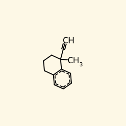 C#CC1(C)CCCc2ccccc21